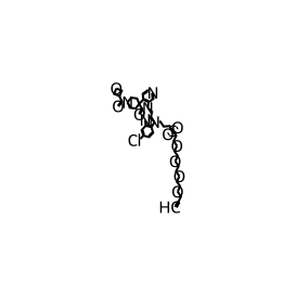 C#CCOCCOCCOCCOCCS(=O)(=O)CCCn1c(CN2C(=O)C3(CCN(C(=O)C4COC4)CC3)c3ccncc32)nc2cc(Cl)ccc21